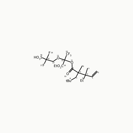 C=CC(C)(CC)C(C)(CC(C)(C)C)C(=O)OC(OCC(F)(F)S(=O)(=O)O)(C(=O)OCC)C(F)(F)F